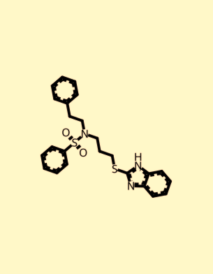 O=S(=O)(c1ccccc1)N(CCCSc1nc2ccccc2[nH]1)CCc1ccccc1